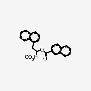 O=C(O[C@H](Cc1cccc2ccccc12)C(=O)O)c1ccc2ccccc2c1